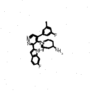 Cc1cc(F)cc(-c2cnnc(-c3cc4ccc(F)cc4[nH]3)c2N2CCC(N)CC2)c1